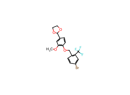 COc1cc(C2OCCO2)ccc1OCc1ccc(Br)cc1C(F)(F)F